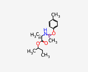 CCC(C)OC(=O)[C@H](C)NP(C)Oc1ccc(C)cc1